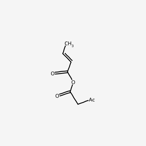 CC=CC(=O)OC(=O)CC(C)=O